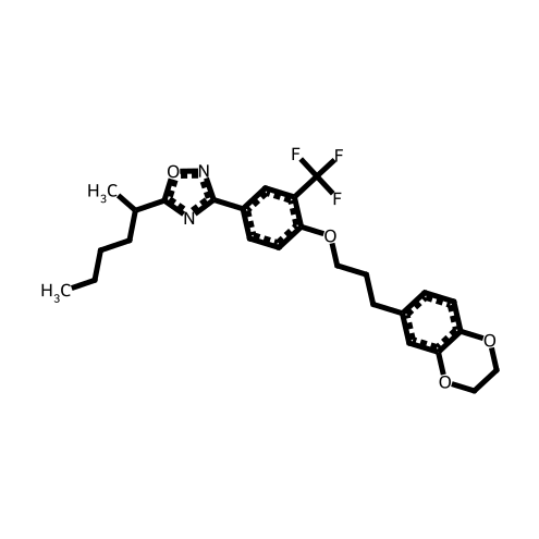 CCCCC(C)c1nc(-c2ccc(OCCCc3ccc4c(c3)OCCO4)c(C(F)(F)F)c2)no1